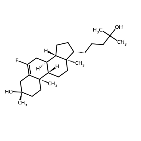 CC(C)(O)CCC[C@H]1CC[C@H]2[C@@H]3CC(F)=C4C[C@@](C)(O)CC[C@]4(C)[C@H]3CC[C@]12C